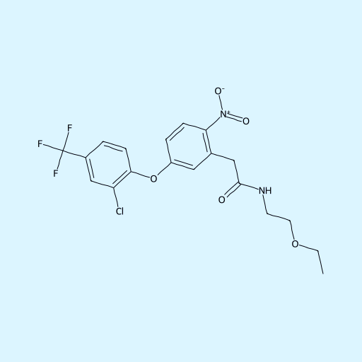 CCOCCNC(=O)Cc1cc(Oc2ccc(C(F)(F)F)cc2Cl)ccc1[N+](=O)[O-]